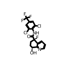 O=C(Nc1c(Cl)cc(C(F)(F)F)cc1Cl)[C@@]1(F)CC[C@H](O)c2ncccc21